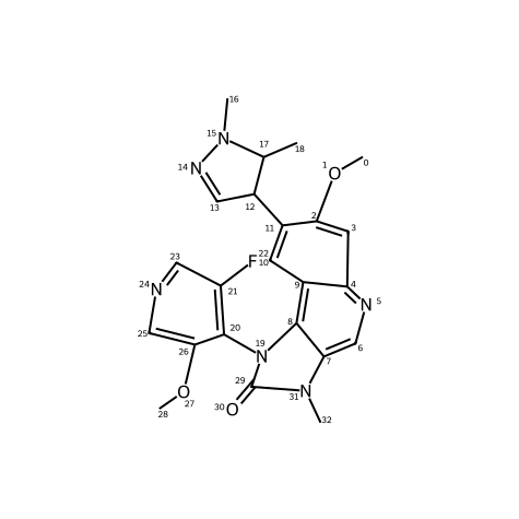 COc1cc2ncc3c(c2cc1C1C=NN(C)C1C)n(-c1c(F)cncc1OC)c(=O)n3C